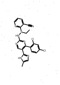 CCN(Nc1ncc(-c2ncc(C)[nH]2)c(-c2ccc(Cl)cc2Cl)n1)c1ncccc1C#N